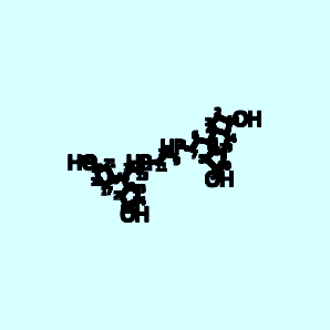 OC1CCC(C(CCPCCCPCCC(C2CCC(O)C2)C2CCC(O)C2)C2CCC(O)C2)C1